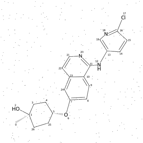 C[C@]1(O)CC[C@H](Oc2ccc3c(Nc4ccc(Cl)nc4)nccc3c2)CC1